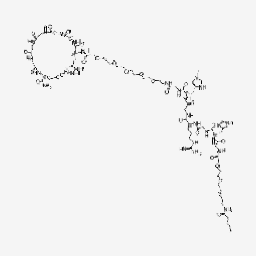 CCCCC(=O)NCCOCCOCCOCC(=O)NCC(=O)N[C@@H](Cc1c[nH]cn1)C(=O)NCC(=O)N[C@@H](CCCNC(=N)N)C(=O)NCC(=O)N[C@@H](CC1=CNCN1)C(=O)NCC(=O)NCCOCCOCCOCCOCCOCC(=O)N[C@H]1CC2=CN(CCCC[C@@H](C(N)=O)NC(=O)CNC(=O)CNC(=O)CNC(=O)CNC(=O)CNC1=O)NN2